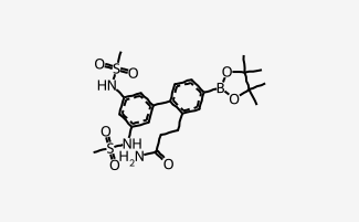 CC1(C)OB(c2ccc(-c3cc(NS(C)(=O)=O)cc(NS(C)(=O)=O)c3)c(CCC(N)=O)c2)OC1(C)C